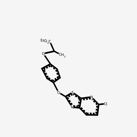 CCOC(=O)C(C)Oc1ccc(Oc2nc3ccc(Cl)nc3s2)cc1